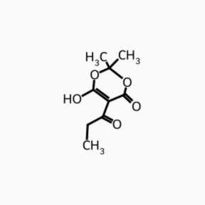 CCC(=O)C1=C(O)OC(C)(C)OC1=O